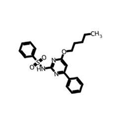 CCCCCOc1cc(-c2ccccc2)nc(NS(=O)(=O)c2ccccc2)n1